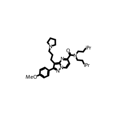 COc1ccc(-c2nn3ccc(C(=O)N(CCC(C)C)CCC(C)C)nc3c2CCCN2CCCC2)cc1